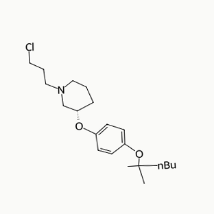 CCCCC(C)(C)Oc1ccc(O[C@H]2CCCN(CCCCl)C2)cc1